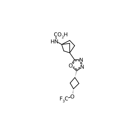 O=C(O)NC12CCC(c3nnc([C@H]4C[C@@H](OC(F)(F)F)C4)o3)(C1)C2